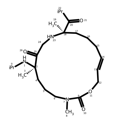 CC(C)N[C@]1(C)CCCN(C)C(=O)OC/C=C/CCC[C@](C)(C(=O)C(C)C)NCC1=O